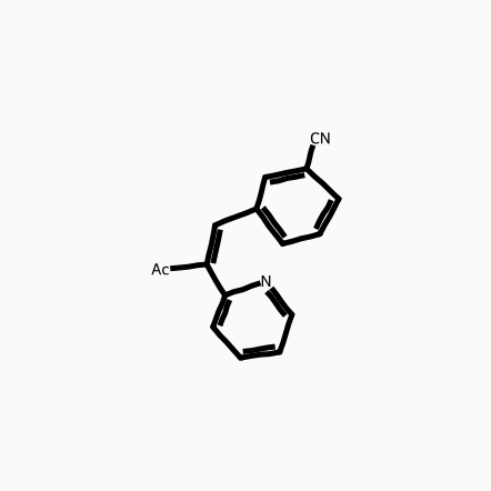 CC(=O)/C(=C/c1cccc(C#N)c1)c1ccccn1